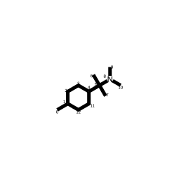 CC1CCC(C(C)(C)N(C)C)CC1